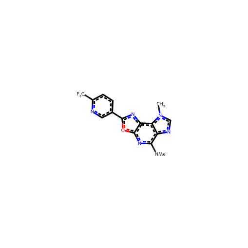 CNc1nc2oc(-c3ccc(C(F)(F)F)nc3)nc2c2c1ncn2C